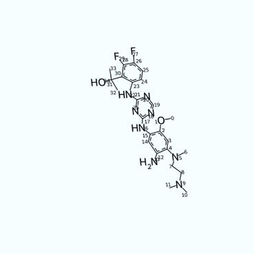 COc1cc(N(C)CCN(C)C)c(N)cc1Nc1ncnc(Nc2ccc(F)c(F)c2C(C)(C)O)n1